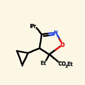 CCOC(=O)C1(CC)ON=C(C(C)C)C1C1CC1